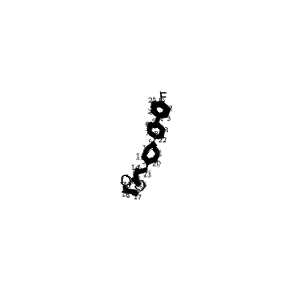 Fc1ccc(C2=CCC([C@H]3CC[C@H](CCC4OCCO4)CC3)CC2)cc1